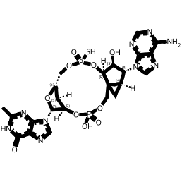 Cc1nc2c(ncn2[C@@H]2O[C@]34COP(=O)(S)O[C@H]5[C@@H](O)[C@H](n6cnc7c(N)ncnc76)[C@H]6CC65COP(=O)(O)O[C@@H]2[C@@H]3C4)c(=O)[nH]1